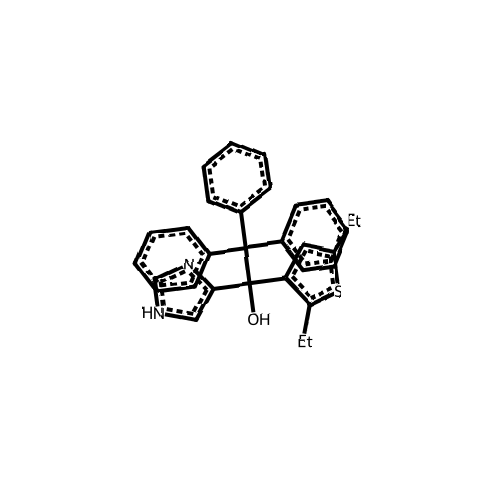 CCc1cc(C(O)(c2c[nH]cn2)C(c2ccccc2)(c2ccccc2)c2ccccc2)c(CC)s1